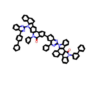 O=c1c2cc(-c3ccc4nc(-n5c6ccccc6c6c7c(=O)n(-c8cccc(-c9ccccc9)c8)c8ccccc8c7c7ccccc7c65)nc(-c5ccccc5)c4c3)ccc2c2cc3c4ccc5ccccc5c4n(-c4nc(-c5ccc(-c6ccccc6)cc5)c5ccccc5n4)c3cc2n1-c1ccccc1